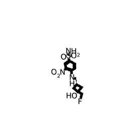 NS(=O)(=O)c1ccc(NC[C@H]2C[C@](O)(CF)C2)c([N+](=O)[O-])c1